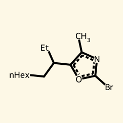 CCCCCCCC(CC)c1oc(Br)nc1C